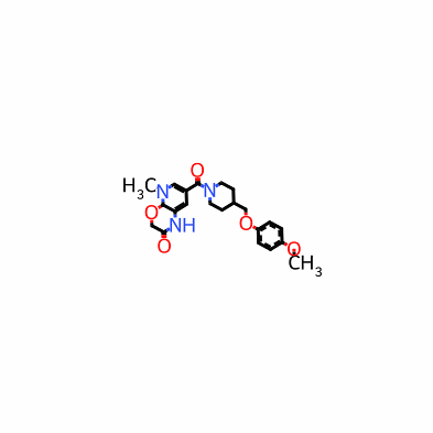 COc1ccc(OCC2CCN(C(=O)C3=CN(C)C4OCC(=O)NC4=C3)CC2)cc1